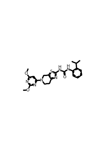 COc1cc(N2CCc3nc(NC(=O)Nc4ccccc4C(C)C)sc3C2)nc(OC)n1